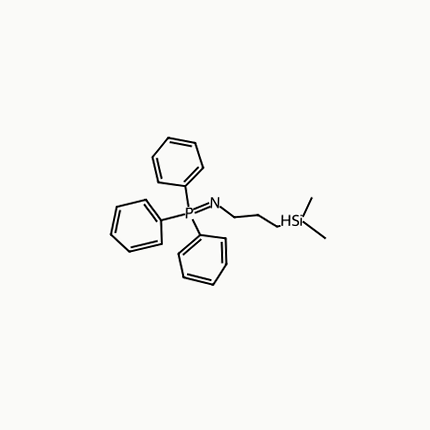 C[SiH](C)CCCN=P(c1ccccc1)(c1ccccc1)c1ccccc1